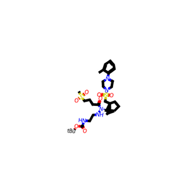 Cc1ccccc1N1CCN(S(=O)(=O)CC23CCC(C[C@@H]2N(NCCNC(=O)OC(C)(C)C)C(=O)CCCS(C)(=O)=O)C3(C)C)CC1